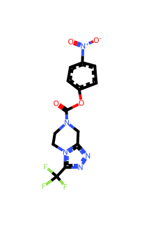 O=C(Oc1ccc([N+](=O)[O-])cc1)N1CCn2c(nnc2C(F)(F)F)C1